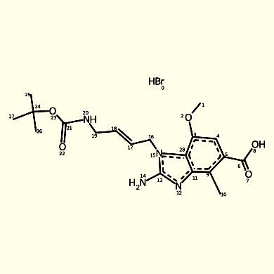 Br.COc1cc(C(=O)O)c(C)c2nc(N)n(CC=CCNC(=O)OC(C)(C)C)c12